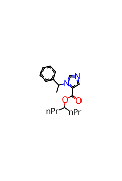 CCCC(CCC)OC(=O)c1cncn1C(C)c1ccccc1